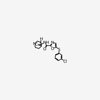 O=C(N[C@H]1CN2CCC1CC2)c1ncc(Sc2cccc(Cl)c2)o1